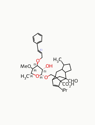 CO[C@H]1[C@@H](OC/C=C/c2ccccc2)[C@H](O)[C@H](OCC23CC4C(C)CCC4C4(C=O)CC2C=C(C(C)C)C43C(=O)O)O[C@@H]1C